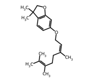 CC(=CCOc1ccc2c(c1)OCC2(C)C)CCC(C)=C(C)C